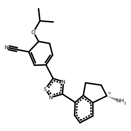 CC(C)OC1CC=C(c2nc(-c3cccc4c3CC[C@@H]4N)ns2)C=C1C#N